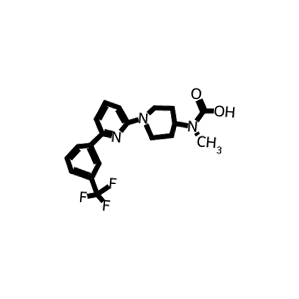 CN(C(=O)O)C1CCN(c2cccc(-c3cccc(C(F)(F)F)c3)n2)CC1